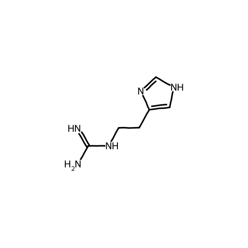 N=C(N)NCCc1c[nH]cn1